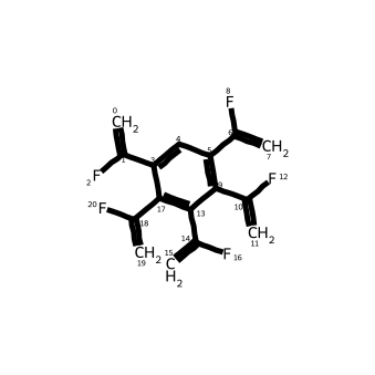 C=C(F)c1cc(C(=C)F)c(C(=C)F)c(C(=C)F)c1C(=C)F